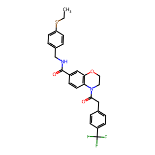 CCSc1ccc(CNC(=O)c2ccc3c(c2)OCCN3C(=O)Cc2ccc(C(F)(F)F)cc2)cc1